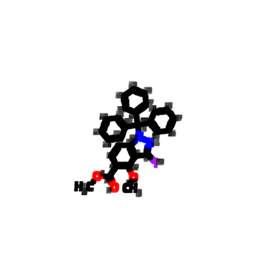 COC(=O)c1ccc2c(c(I)nn2C(c2ccccc2)(c2ccccc2)c2ccccc2)c1OC